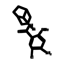 CCN1CC2CCC(C1)C2NC(=O)c1cc(Cl)c(N)cc1OC